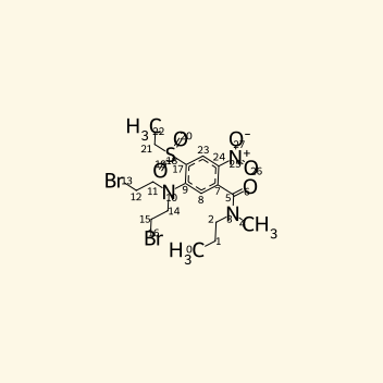 CCCN(C)C(=O)c1cc(N(CCBr)CCBr)c(S(=O)(=O)CC)cc1[N+](=O)[O-]